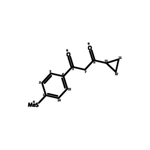 CSc1ccc(C(=O)CC(=O)C2CC2)cc1